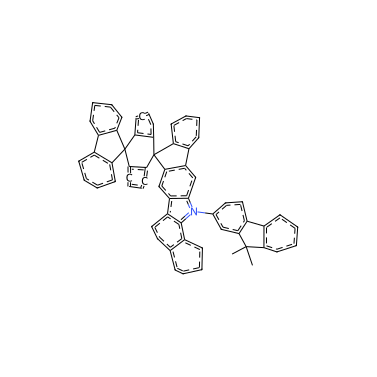 CC1(C)c2ccccc2-c2ccc(-n3c4cc5c(cc4c4ccc6ccccc6c43)C3(c4ccccc4-5)c4ccccc4C4(c5ccccc5-c5ccccc54)c4ccccc43)cc21